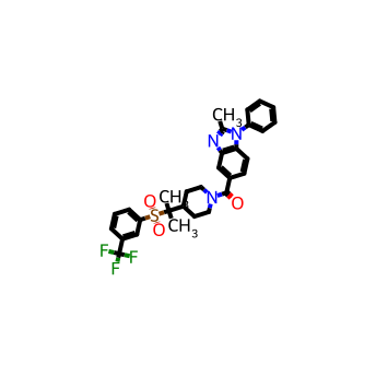 Cc1nc2cc(C(=O)N3CCC(C(C)(C)S(=O)(=O)c4cccc(C(F)(F)F)c4)CC3)ccc2n1-c1ccccc1